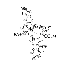 CCCCC(=O)Nc1ccc(C(=O)N(CCN2CCC(C(=O)c3ccc(F)cc3)CC2)c2cccc(OC)c2)cc1.O=C(O)/C=C/C(=O)O